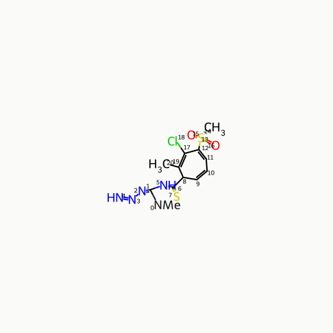 CN/C(=N\N=N)NC(=S)C1C=CC=C(S(C)(=O)=O)C(Cl)=C1C